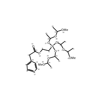 COC(C)OC(C)O[Si](CCOC(=O)Cc1ccncc1)(OC(C)OC(C)OC)OC(C)OC(C)OC